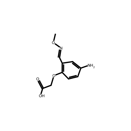 CON=Cc1cc(N)ccc1OCC(=O)O